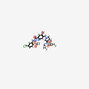 CCS(=O)(=O)c1ccc(Cl)cc1CNC(=O)c1ccc(CN2CC[C@@H](N(C)S(C)(=O)=O)C2)c(Br)c1